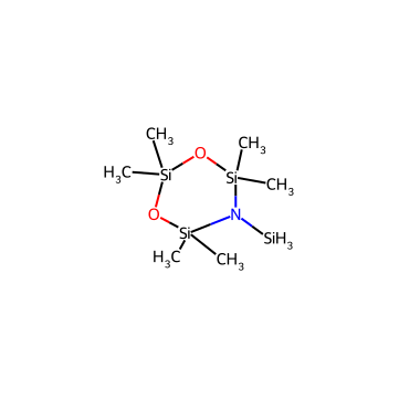 C[Si]1(C)O[Si](C)(C)N([SiH3])[Si](C)(C)O1